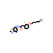 CC/C=C/CCCOc1cccc(CC(=O)Nc2ccc3ncsc3c2)c1F